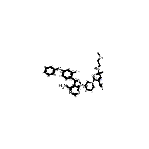 COCCNC(C)(C)/C=C(/C#N)C(=O)N1CCC[C@@H](n2nc(-c3ccc(Oc4ccccc4)cc3F)c3c(N)ncnc32)C1